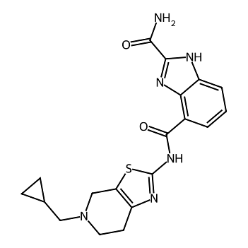 NC(=O)c1nc2c(C(=O)Nc3nc4c(s3)CN(CC3CC3)CC4)cccc2[nH]1